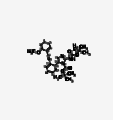 COc1ccccc1C#Cc1ccccc1-c1cnc(NC(=O)OC(C)(C)C)n1C(=O)OC(C)(C)C